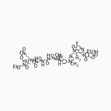 CCOCCNC(=O)CC[C@H](NC(=O)CCCN1C(=O)C=CC1=O)C(=O)NCC(=O)NCC(=O)NCC(=O)N[C@@H](C)C(=O)Nc1ccc(C[N+]2(C)CCN(CCN3COc4c(F)cc5nc6c(c(C)c5c43)Cn3c-6cc4c(c3=O)COC(=O)[C@]4(O)CC)CC2)cc1